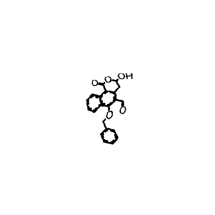 O=Cc1c2c(c3ccccc3c1OCc1ccccc1)C(=O)OC(O)C2